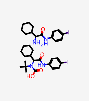 CC(C)(C)N(C(=O)O)[C@H](C(=O)Nc1ccc(I)cc1)C1CCCCC1.N[C@H](C(=O)Nc1ccc(I)cc1)C1CCCCC1